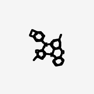 Cc1cc2c3c(c1)N(c1ccc4c(c1)CC4)c1oc(C)cc1B3c1ccccc1O2